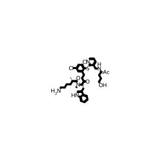 CC(=O)[C@H](CCCO)NCc1cccnc1Sc1c(Cl)cc(Cl)cc1CCC(=O)[C@H](Cc1c[nH]c2ccccc12)N(C)C(=O)[C@@H](C)CCCCN